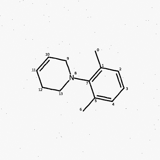 Cc1cccc(C)c1N1CC=CCC1